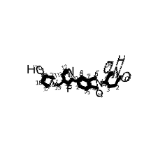 O=C1CCC(N2Cc3cc(-c4nccc(CN5CC[C@H](O)C5)c4F)ccc3C2=O)C(=O)N1